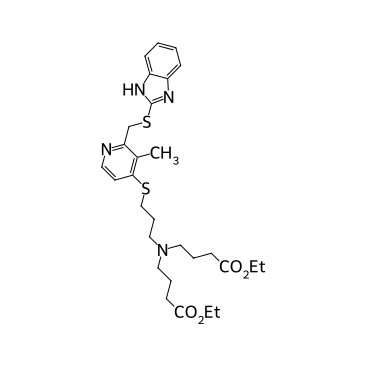 CCOC(=O)CCCN(CCCSc1ccnc(CSc2nc3ccccc3[nH]2)c1C)CCCC(=O)OCC